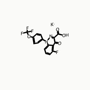 O=C(O)c1nn(-c2ccc(OC(F)(F)F)cc2)c2cccc(F)c2c1=O.[K]